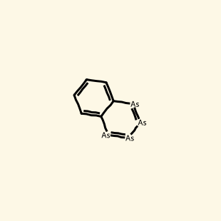 c1ccc2c(c1)[As]=[As][As]=[As]2